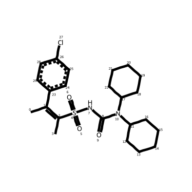 CC(=C(C)S(=O)(=O)NC(=O)N(C1CCCCC1)C1CCCCC1)c1ccc(Cl)cc1